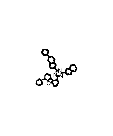 C1=Cc2c(oc3cccc(-c4nc(-c5ccc6ccccc6c5)nc(-c5ccc6cc(-c7ccccc7)ccc6c5)n4)c23)C(c2ccccc2)C1